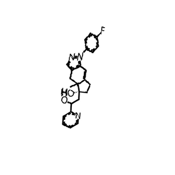 CC12Cc3cnn(-c4ccc(F)cc4)c3C=C1CC[C@@]2(O)CC(O)c1ccccn1